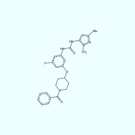 Cn1nc(C(C)(C)C)cc1NC(=O)Nc1cc(F)cc(OC2CCN(C(=O)c3ccccc3)CC2)c1